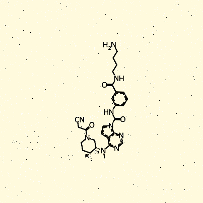 C[C@@H]1CCN(C(=O)CC#N)C[C@@H]1N(C)c1ncnc2c1ccn2C(=O)Nc1cccc(C(=O)NCCCCN)c1